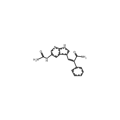 NC(=O)Nc1cnc2[nH]cc(C=C(C(N)=O)c3ccccc3)c2c1